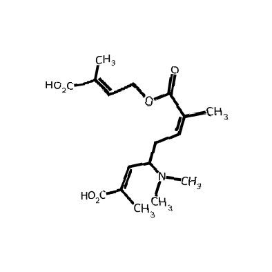 CC(=CCOC(=O)C(C)=CCC(C=C(C)C(=O)O)N(C)C)C(=O)O